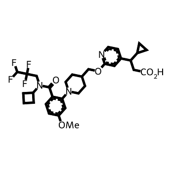 COc1ccc(C(=O)N(CC(F)(F)C(F)F)C2CCC2)c(N2CCC(COc3cc(C(CC(=O)O)C4CC4)ccn3)CC2)c1